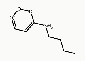 CCCC[SiH2]C1=CC=[O+]OO1